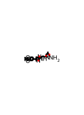 Cc1cc(N)nc(CCc2nc3cc(-c4ccc(S(=O)(=O)N(C)C)cc4)cnc3[nH]2)c1